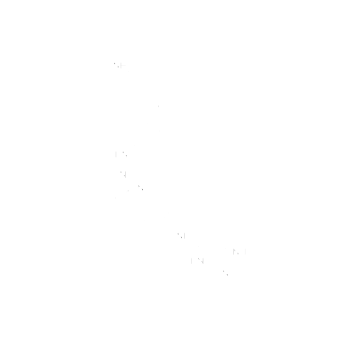 CC(N)CCCc1cc(Cl)c(F)c(-c2cc3cn(-c4ccc(C5CCCC(CNC6=NCCNC6)N5)cc4)c(=O)nc3[nH]2)c1